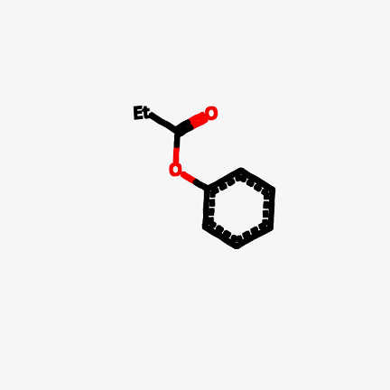 CCC(=O)Oc1ccccc1